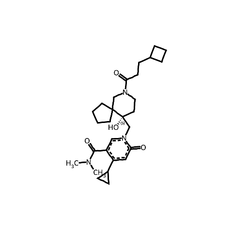 CN(C)C(=O)c1cn(C[C@]2(O)CCN(C(=O)CCC3CCC3)CC23CCCC3)c(=O)cc1C1CC1